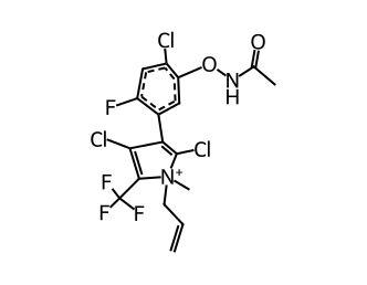 C=CC[N+]1(C)C(Cl)=C(c2cc(ONC(C)=O)c(Cl)cc2F)C(Cl)=C1C(F)(F)F